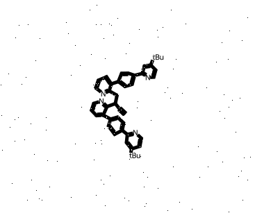 C#CC(Cc1ncccc1-c1ccc(-c2cc(C(C)(C)C)ccn2)cc1)c1ncccc1-c1ccc(-c2cc(C(C)(C)C)ccn2)cc1